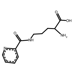 NC(CCCNC(=O)c1ccccn1)C(=O)O